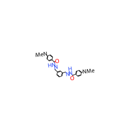 CNc1ccc(C(=O)N/N=C/c2cccc(/C=N/NC(=O)c3ccc(NC)cc3)c2)cc1